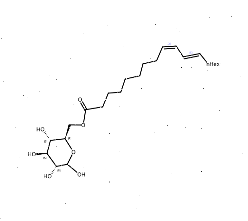 CCCCCC/C=C/C=C\CCCCCCCC(=O)OC[C@H]1OC(O)[C@H](O)[C@@H](O)[C@@H]1O